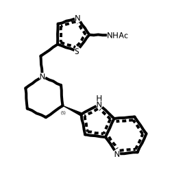 CC(=O)Nc1ncc(CN2CCC[C@H](c3cc4ncccc4[nH]3)C2)s1